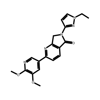 CCn1ccc(N2Cc3nc(-c4cnc(OC)c(OC)c4)ccc3C2=O)n1